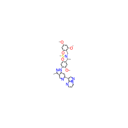 COc1ccc(CN(C(C)c2ccc(-n3nc(C)c4cnc(-c5cnn6cccnc56)cc43)c(OC)c2)S(C)(=O)=O)c(OC)c1